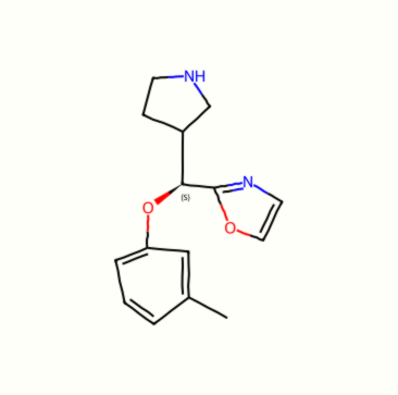 Cc1cccc(O[C@H](c2ncco2)C2CCNC2)c1